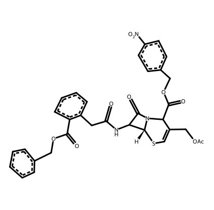 CC(=O)OCC1=CS[C@@H]2C(NC(=O)Cc3ccccc3C(=O)OCc3ccccc3)C(=O)N2C1C(=O)OCc1ccc([N+](=O)[O-])cc1